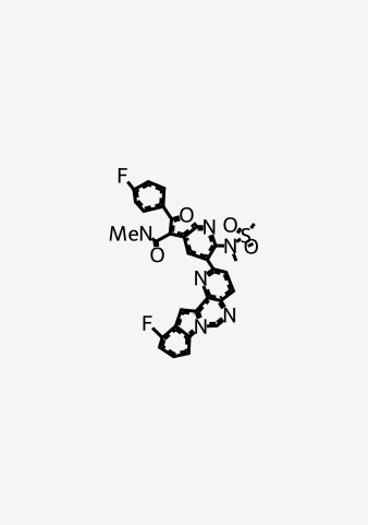 CNC(=O)c1c(-c2ccc(F)cc2)oc2nc(N(C)S(C)(=O)=O)c(-c3ccc4ncn5c6cccc(F)c6cc5c4n3)cc12